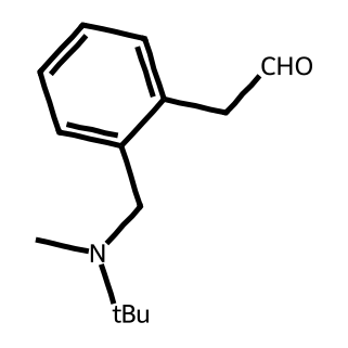 CN(Cc1ccccc1CC=O)C(C)(C)C